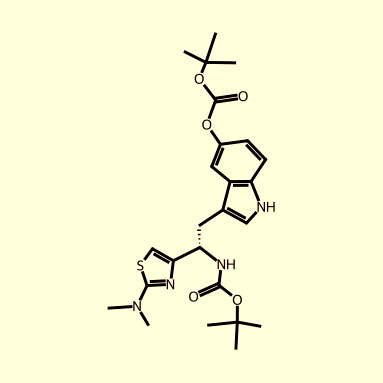 CN(C)c1nc([C@H](Cc2c[nH]c3ccc(OC(=O)OC(C)(C)C)cc23)NC(=O)OC(C)(C)C)cs1